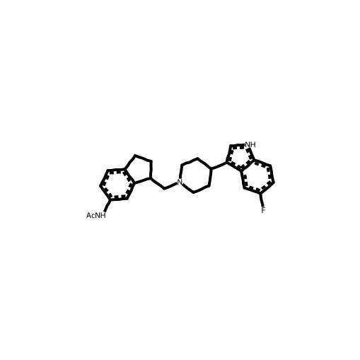 CC(=O)Nc1ccc2c(c1)C(CN1CCC(c3c[nH]c4ccc(F)cc34)CC1)CC2